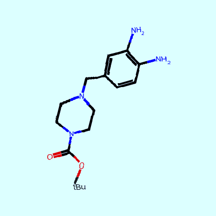 CC(C)(C)OC(=O)N1CCN(Cc2ccc(N)c(N)c2)CC1